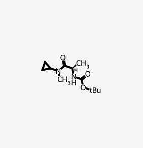 C[C@@H](NC(=O)OC(C)(C)C)C(=O)N(C)C1CC1